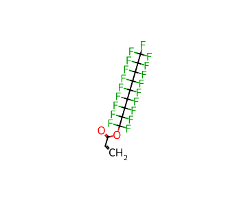 C=CC(=O)OC(F)(F)C(F)(F)C(F)(F)C(F)(F)C(F)(F)C(F)(F)C(F)(F)C(F)(F)C(F)(F)F